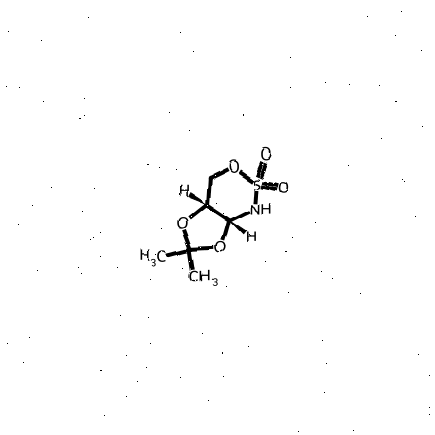 CC1(C)O[C@H]2NS(=O)(=O)OC[C@H]2O1